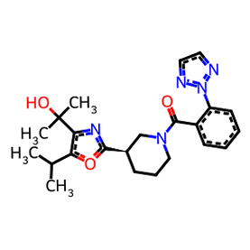 CC(C)c1oc([C@@H]2CCCN(C(=O)c3ccccc3-n3nccn3)C2)nc1C(C)(C)O